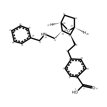 O=C(O)c1ccc(CC[C@H]2[C@H](CNCc3ccccc3)[C@H]3CC[C@@H]2O3)cc1